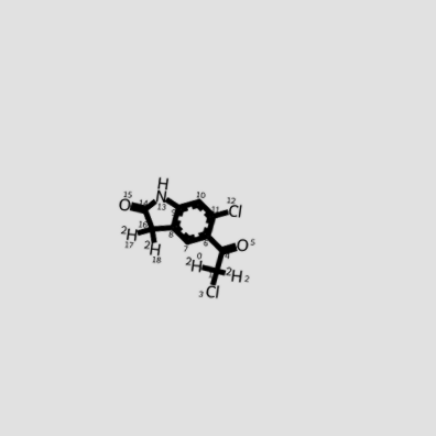 [2H]C([2H])(Cl)C(=O)c1cc2c(cc1Cl)NC(=O)C2([2H])[2H]